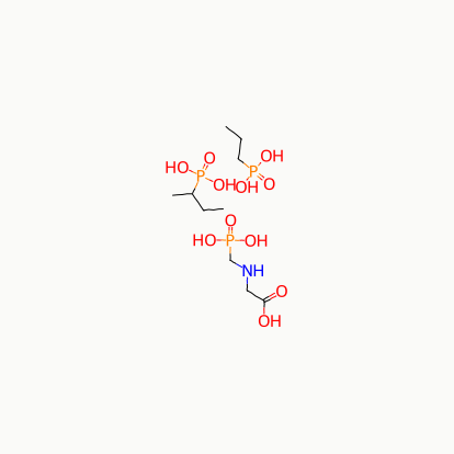 CCC(C)P(=O)(O)O.CCCP(=O)(O)O.O=C(O)CNCP(=O)(O)O